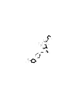 C[S@+]([O-])c1cc(N2CCN(CCn3c(=O)sc4c3nc(N)n3nc(-c5ccco5)nc43)CC2)c(F)cc1F